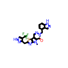 CN(Cc1cccc2[nH]ncc12)/N=C\c1c(C=O)n(C)c2nc(Cc3n[nH]cc3C(F)(F)F)sc12